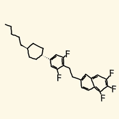 CCCCC[C@H]1CC[C@H](c2cc(F)c(CCc3ccc4c(F)c(F)c(F)cc4c3)c(F)c2)CC1